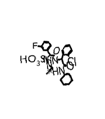 C[C@@H]1CN1N(C(C(=O)NC(C(=O)NC1CCCCC1)c1ccccc1Cl)c1cccc(F)c1)S(=O)(=O)O